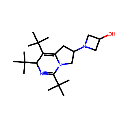 CC(C)(C)C1=NC(C(C)(C)C)C(C(C)(C)C)=C2CC(N3CC(O)C3)CN12